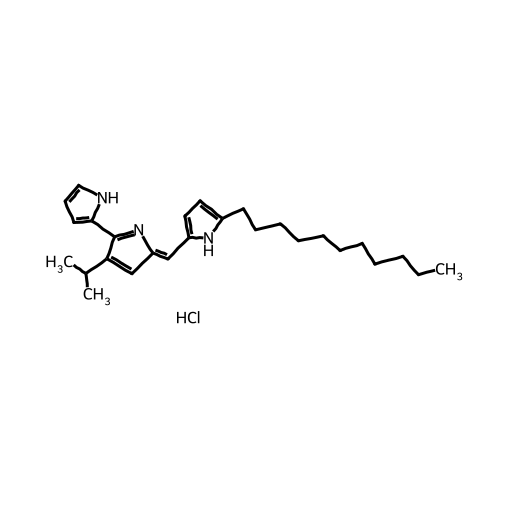 CCCCCCCCCCCc1ccc(C=C2C=C(C(C)C)C(c3ccc[nH]3)=N2)[nH]1.Cl